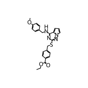 CCOC(=O)c1ccc(CSc2nc(NCc3ccc(OC)cc3)c3cccn3n2)cc1